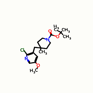 COc1cnc(Cl)c(CC2(C)CCN(C(=O)OC(C)(C)C)CC2)c1